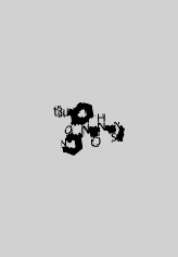 CC(C)(C)c1ccccc1Oc1ncccc1NC(=O)Nc1nccs1